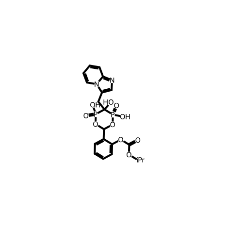 CC(C)OC(=O)Oc1ccccc1C1OP(=O)(O)C(O)(Cc2cnc3ccccn23)P(=O)(O)O1